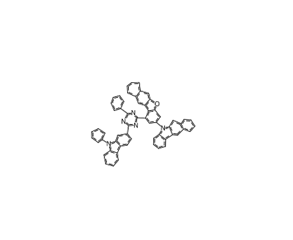 c1ccc(-c2nc(-c3ccc4c5ccccc5n(-c5ccccc5)c4c3)nc(-c3cc(-n4c5ccccc5c5cc6ccccc6cc54)cc4oc5cc6ccccc6cc5c34)n2)cc1